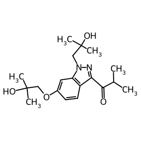 CC(C)C(=O)c1nn(CC(C)(C)O)c2cc(OCC(C)(C)O)ccc12